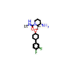 CCNC(=O)N1CCC[C@H](N)[C@@H]1COC1CCC(c2ccc(F)c(F)c2)CC1